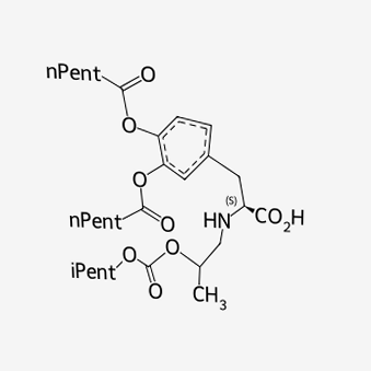 CCCCCC(=O)Oc1ccc(C[C@H](NCC(C)OC(=O)OC(C)CCC)C(=O)O)cc1OC(=O)CCCCC